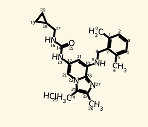 Cc1cccc(C)c1CNc1cc(NC(=O)NCC2CC2)cn2c(C)c(C)nc12.Cl